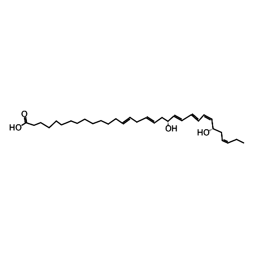 CC/C=C\C[C@H](O)\C=C/C=C/C=C/[C@H](O)C/C=C/C/C=C/CCCCCCCCCCCCC(=O)O